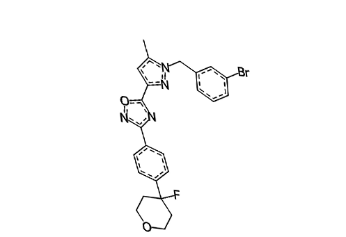 Cc1cc(-c2nc(-c3ccc(C4(F)CCOCC4)cc3)no2)nn1Cc1cccc(Br)c1